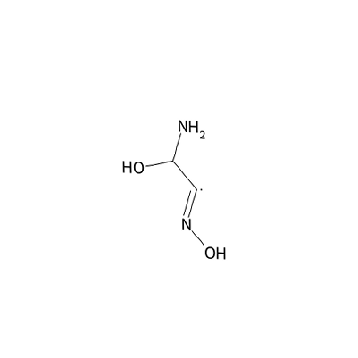 NC(O)[C]=NO